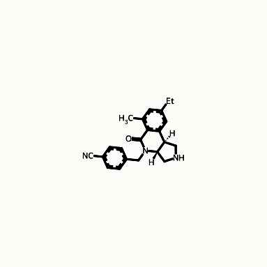 CCc1cc(C)c2c(c1)[C@H]1CNC[C@@H]1N(Cc1ccc(C#N)cc1)C2=O